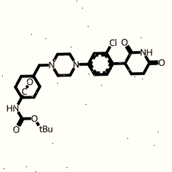 CC(C)(C)OC(=O)NC12CCC(CN3CCN(c4ccc(C5CCC(=O)NC5=O)c(Cl)c4)CC3)(CC1)OC2